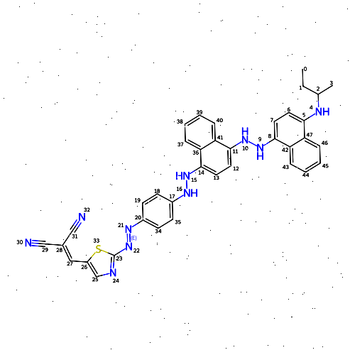 CCC(C)Nc1ccc(NNc2ccc(NNc3ccc(/N=N/c4ncc(C=C(C#N)C#N)s4)cc3)c3ccccc23)c2ccccc12